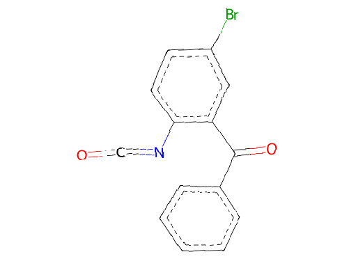 O=C=Nc1ccc(Br)cc1C(=O)c1ccccc1